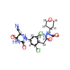 N#Cc1nn(-c2cc(Cl)c(Cc3nn(C4CCOCC4)c(=O)o3)c(Cl)c2)c(=O)[nH]c1=O